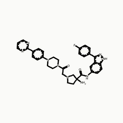 NC1(C(=O)Nc2ccc3[nH]nc(-c4ccc(F)cc4)c3c2)CCN(CC(=O)N2CCN(c3ccc(-c4ncccn4)cc3)CC2)C1